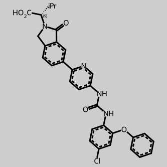 CC(C)[C@@H](C(=O)O)N1Cc2ccc(-c3ccc(NC(=O)Nc4ccc(Cl)cc4Oc4ccccc4)cn3)cc2C1=O